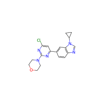 Clc1cc(-c2ccc3ncn(C4CC4)c3c2)nc(N2CCOCC2)n1